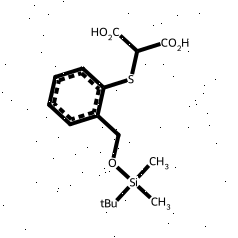 CC(C)(C)[Si](C)(C)OCc1ccccc1SC(C(=O)O)C(=O)O